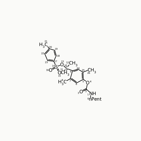 CCCCCNC(=O)Oc1cc(C)c(S(C)(C)OS(=O)(=O)c2ccc(C)cc2)cc1C